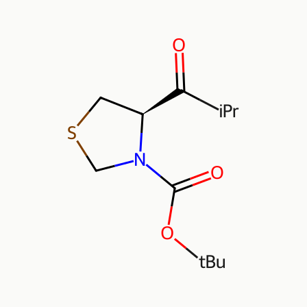 CC(C)C(=O)[C@@H]1CSCN1C(=O)OC(C)(C)C